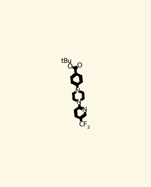 CC(C)(C)OC(=O)c1ccc(N2CCN(c3ccc(C(F)(F)F)cn3)CC2)cc1